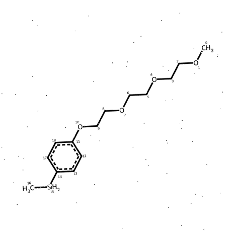 COCCOCCOCCOc1ccc([SiH2]C)cc1